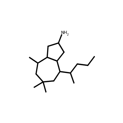 CCCC(C)C1CC(C)(C)CC(C)C2CC(N)CC21